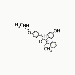 CC/C(=C(\C(=O)Nc1ccc(OCCNC)cc1)c1ccc(O)cc1)c1ccccc1